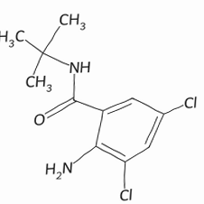 CC(C)(C)NC(=O)c1cc(Cl)cc(Cl)c1N